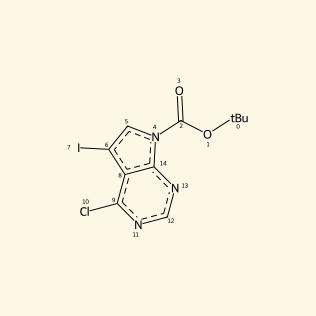 CC(C)(C)OC(=O)n1cc(I)c2c(Cl)ncnc21